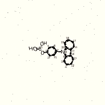 OB(O)Oc1ccc(-n2c3ccccc3c3ccccc32)cc1